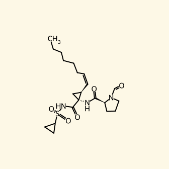 CCCCCC/C=C\[C@@H]1C[C@]1(NC(=O)[C@@H]1CCCN1C=O)C(=O)NS(=O)(=O)C1CC1